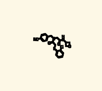 N#Cc1ccc(CN(CC(=O)NC2COC2)C(=O)CSc2ccccc2Cl)cc1